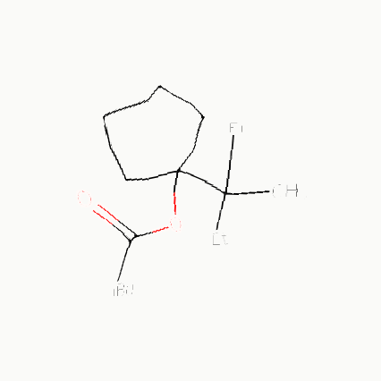 CCC(C)C(=O)OC1(C(C)(CC)CC)CCCC1